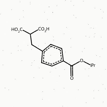 CC(C)OC(=O)c1ccc(CC(C(=O)O)C(=O)O)cc1